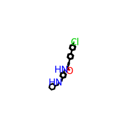 O=C(C#Cc1ccc(-c2ccc(Cl)cc2)cc1)Nc1ccc(CNCC2CCCCC2)cc1